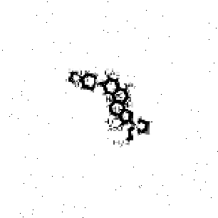 C=CC[N+]1(C2C[C@H]3[C@@H]4CCC5CC(OC(C)=O)C(N6CCC7(CC6)OCCO7)C[C@]5(C)[C@@H]4CC[C@]3(C)C2OC(C)=O)CCCC1.[Br-]